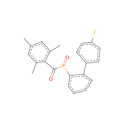 Cc1cc(C)c(C(=O)[P](=O)c2ccccc2-c2ccc(F)cc2)c(C)c1